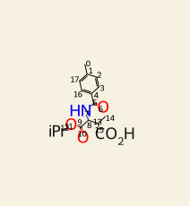 Cc1ccc(C(=O)NC(C(=O)OC(C)C)C(C)C(=O)O)cc1